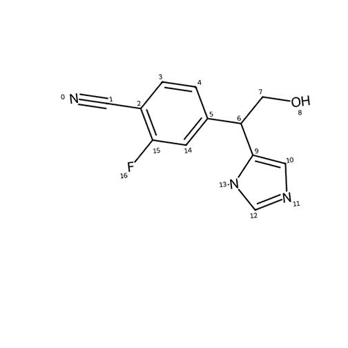 N#Cc1ccc(C(CO)C2=CN=C[N]2)cc1F